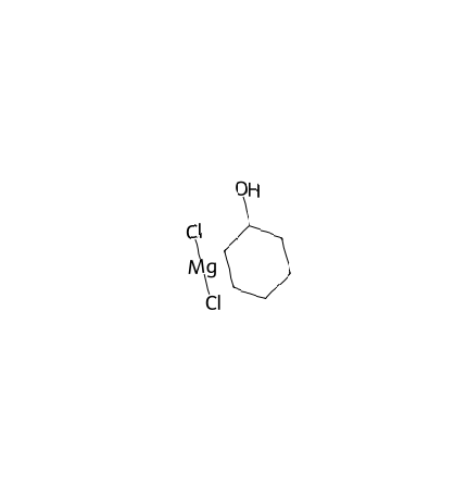 OC1CCCCC1.[Cl][Mg][Cl]